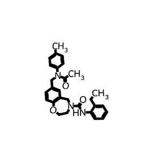 CCc1ccccc1NC(=O)N1CCOc2ccc(CN(C(C)=O)c3ccc(C)cc3)cc2C1